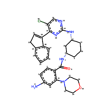 Nc1ccc(C(=O)N[C@H]2CCC[C@@H](Nc3ncc(Cl)c(C4=CCc5ccccc54)n3)C2)c(N2CCOCC2)c1